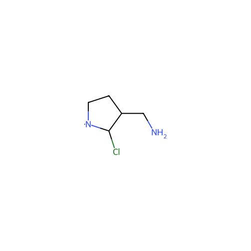 NCC1CC[N]C1Cl